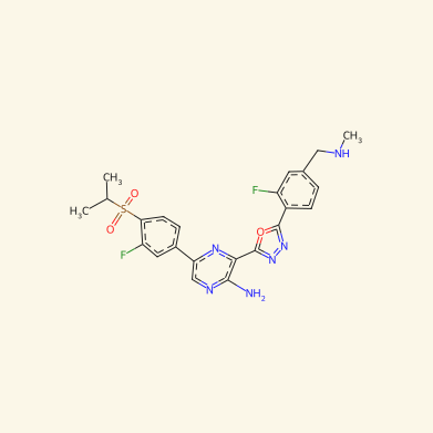 CNCc1ccc(-c2nnc(-c3nc(-c4ccc(S(=O)(=O)C(C)C)c(F)c4)cnc3N)o2)c(F)c1